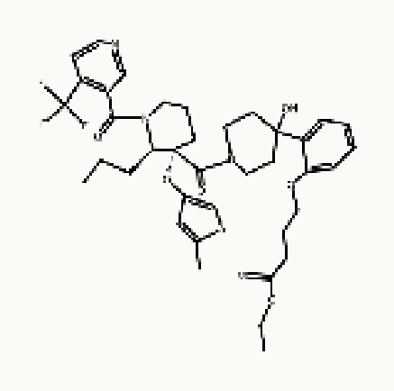 CCC[C@H]1N(C(=O)c2cnccc2C(F)(F)F)CCC[C@@]1(Oc1csc(C)c1)C(=O)N1CCC(O)(c2ccccc2OCCCC(=O)OCC)CC1